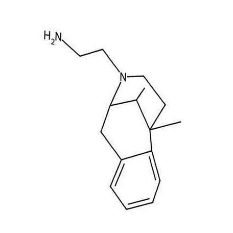 CC1C2Cc3ccccc3C1(C)CCN2CCN